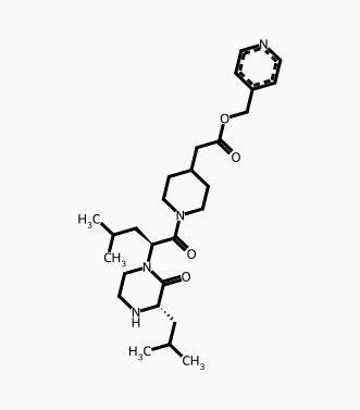 CC(C)C[C@@H]1NCCN([C@@H](CC(C)C)C(=O)N2CCC(CC(=O)OCc3ccncc3)CC2)C1=O